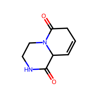 O=C1NCCN2C(=O)CC=CC12